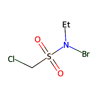 CCN(Br)S(=O)(=O)CCl